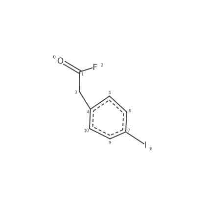 O=C(F)Cc1ccc(I)cc1